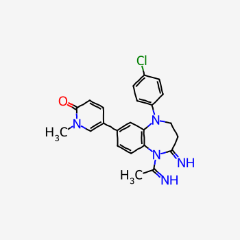 CC(=N)N1C(=N)CCN(c2ccc(Cl)cc2)c2cc(-c3ccc(=O)n(C)c3)ccc21